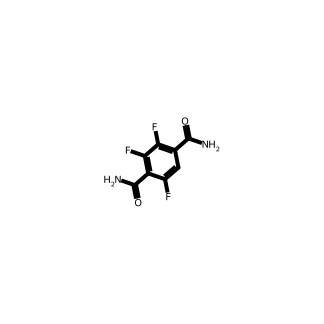 NC(=O)c1cc(F)c(C(N)=O)c(F)c1F